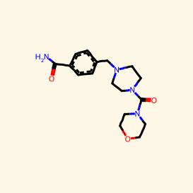 NC(=O)c1ccc(CN2CCN(C(=O)N3CCOCC3)CC2)cc1